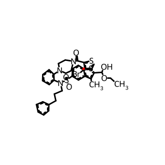 CCOC(O)c1sc2ccc(S(=O)(=O)N(CCCc3ccccc3)c3ccccc3N3CCN(C(=O)c4sccc4Br)CC3)cc2c1C